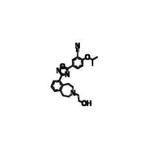 CC(C)Oc1ccc(-c2nc(-c3cccc4c3CCN(CCO)CC4)no2)cc1C#N